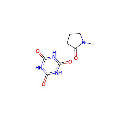 CN1CCCC1=O.O=c1[nH]c(=O)[nH]c(=O)[nH]1